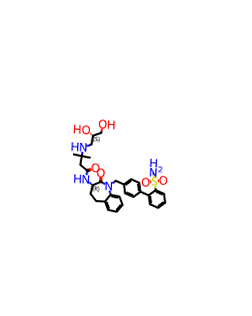 CC(C)(CC(=O)N[C@@H]1CCc2ccccc2N(Cc2ccc(-c3ccccc3S(N)(=O)=O)cc2)C1=O)NC[C@H](O)CO